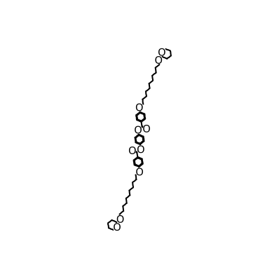 O=C(Oc1ccc(OC(=O)c2ccc(OCCCCCCCCCCCOC3CCCCO3)cc2)cc1)c1ccc(OCCCCCCCCCCCOC2CCCCO2)cc1